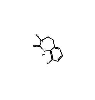 C=C1Nc2c(F)cccc2CCN1C